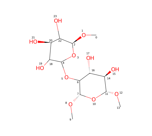 CO[C@H]1OC(OC2[C@@H](OC)O[C@@H](OC)[C@H](O)[C@H]2O)C(O)[C@@H](O)C1O